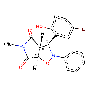 CCCCN1C(=O)[C@@H]2[C@@H](c3cc(Br)ccc3O)N(c3ccccc3)O[C@H]2C1=O